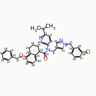 CC(C)c1ccc(N(Cc2cnn(Cc3cccc(Cl)c3)c2)C(=O)C2CCCc3c(OCc4ccccc4)cccc32)cn1